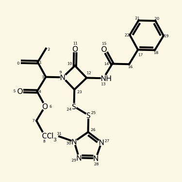 C=C(C)C(C(=O)OCC(Cl)(Cl)Cl)N1C(=O)C(NC(=O)Cc2ccccc2)C1SSc1nnnn1C